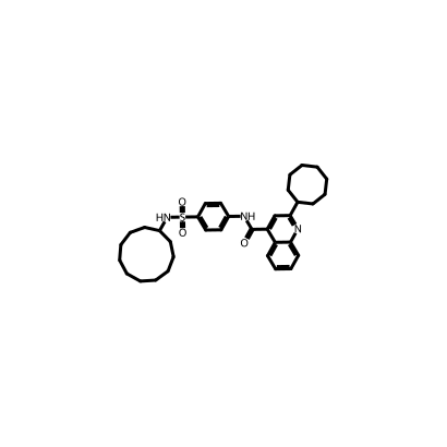 O=C(Nc1ccc(S(=O)(=O)NC2CCCCCCCCCC2)cc1)c1cc(C2CCCCCCC2)nc2ccccc12